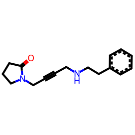 O=C1CCCN1CC#CCNCCc1ccccc1